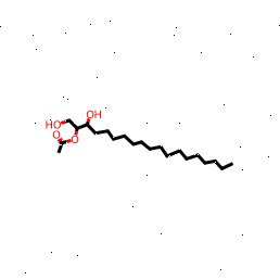 CCCCCCCCCCCCCCCCC(O)C(CO)OC(C)=O